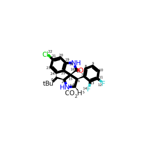 CC(C)(C)C[C@@H]1N[C@@H](C(=O)O)[C@H](c2cccc(F)c2F)[C@]12C(=O)Nc1cc(Cl)ccc12